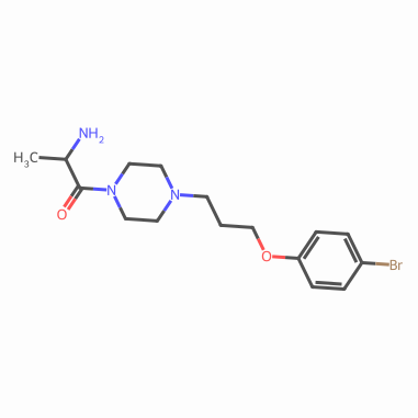 CC(N)C(=O)N1CCN(CCCOc2ccc(Br)cc2)CC1